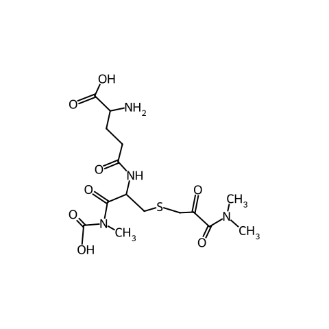 CN(C)C(=O)C(=O)CSCC(NC(=O)CCC(N)C(=O)O)C(=O)N(C)C(=O)O